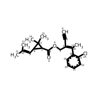 C#CC(COC(=O)C1C(C=C(C)C)C1(C)C)=C(C)c1ccccc1Cl